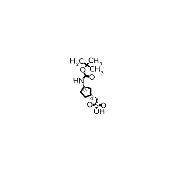 CC(C)(C)OC(=O)N[C@H]1CC[C@@H](CS(=O)(=O)O)C1